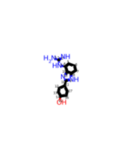 N=C(N)Nc1cccc2[nH]c(-c3ccc(O)cc3)nc12